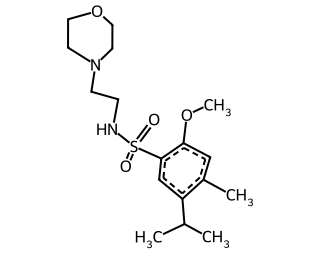 COc1cc(C)c(C(C)C)cc1S(=O)(=O)NCCN1CCOCC1